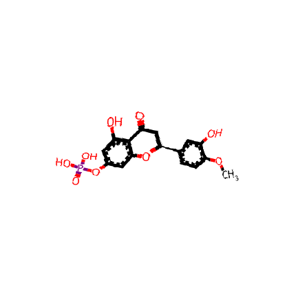 COc1ccc([C@@H]2CC(=O)c3c(O)cc(OP(=O)(O)O)cc3O2)cc1O